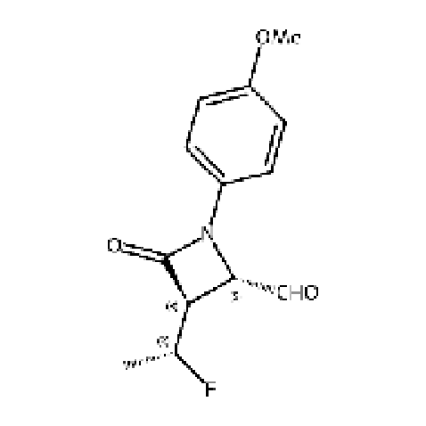 COc1ccc(N2C(=O)[C@H]([C@@H](C)F)[C@H]2C=O)cc1